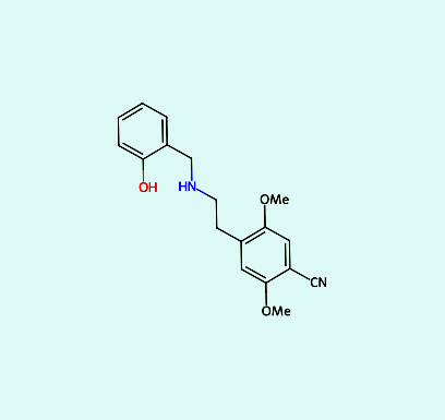 COc1cc(CCNCc2ccccc2O)c(OC)cc1C#N